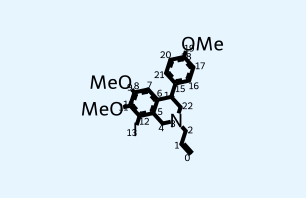 C=CCN1Cc2c(cc(OC)c(OC)c2I)C(c2ccc(OC)cc2)C1